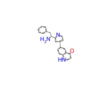 NC(Cc1ccccc1)c1cc(-c2ccc3[nH]ccc(=O)c3c2)ccn1